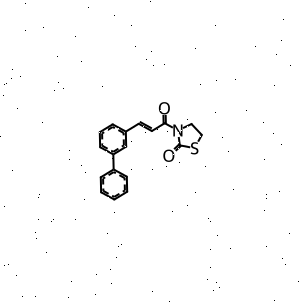 O=C(C=Cc1cccc(-c2ccccc2)c1)N1CCSC1=O